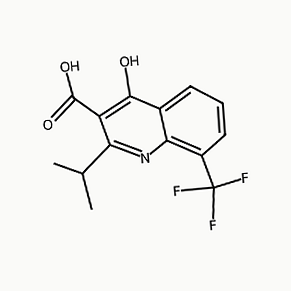 CC(C)c1nc2c(C(F)(F)F)cccc2c(O)c1C(=O)O